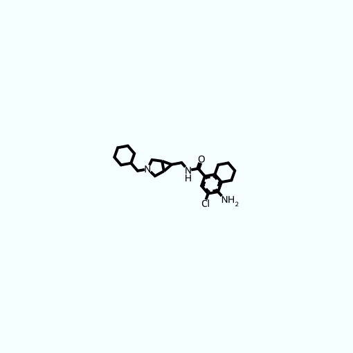 Nc1c(Cl)cc(C(=O)NCC2C3CN(CC4CCCCC4)CC23)c2c1CCCC2